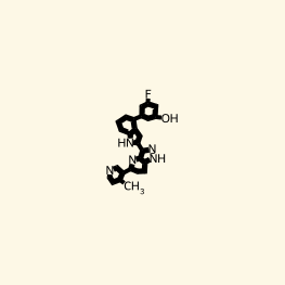 Cc1ccncc1-c1ccc2[nH]nc(-c3cc4c(-c5cc(O)cc(F)c5)cccc4[nH]3)c2n1